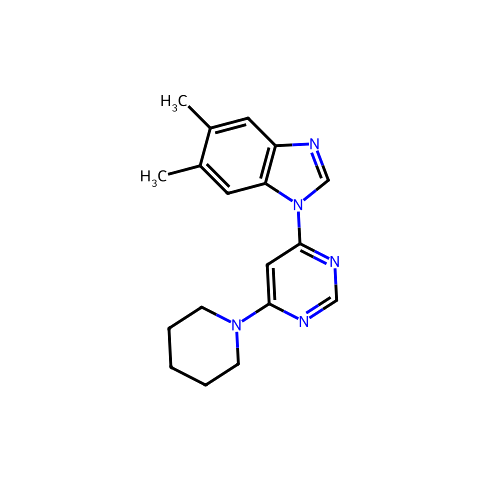 Cc1cc2ncn(-c3cc(N4CCCCC4)ncn3)c2cc1C